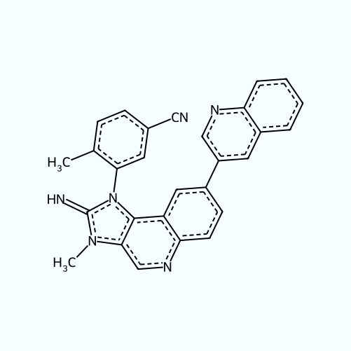 Cc1ccc(C#N)cc1-n1c(=N)n(C)c2cnc3ccc(-c4cnc5ccccc5c4)cc3c21